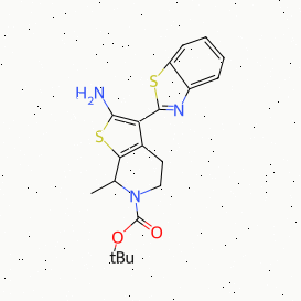 CC1c2sc(N)c(-c3nc4ccccc4s3)c2CCN1C(=O)OC(C)(C)C